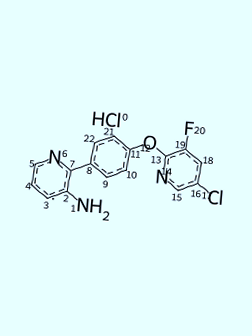 Cl.Nc1[c]ccnc1-c1ccc(Oc2ncc(Cl)cc2F)cc1